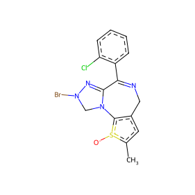 Cc1cc2c([s+]1[O-])N1CN(Br)N=C1C(c1ccccc1Cl)=NC2